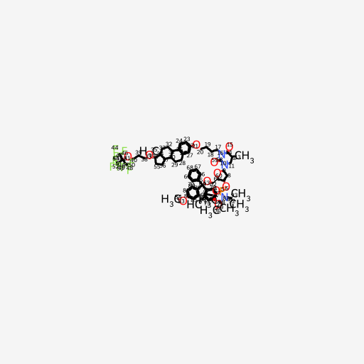 C#CCCOP(OC1C[C@H](N2CC(C)C(=O)N(CCCCOc3ccc4c(c3)CCC3C4CCC4(C)C(OCCCOC(C(F)(F)F)(C(F)(F)F)C(F)(F)F)CCC34)C2=O)O[C@@H]1COC(c1ccccc1)(c1ccc(OC)cc1)c1ccc(OC)cc1)N(C(C)C)C(C)C